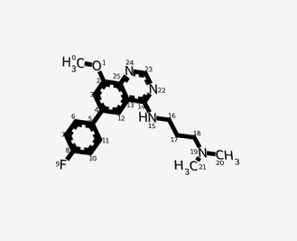 COc1cc(-c2ccc(F)cc2)cc2c(NCCCN(C)C)ncnc12